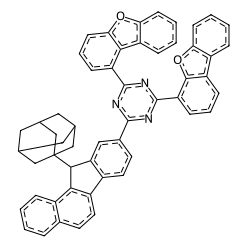 c1ccc2c3c(ccc2c1)-c1ccc(-c2nc(-c4cccc5c4oc4ccccc45)nc(-c4cccc5oc6ccccc6c45)n2)cc1C3C12CC3CC(CC(C3)C1)C2